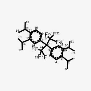 CC(C)c1ccc(C(c2ccc(C(C)C)c(C(C)C)c2)(C(F)(F)F)C(F)(F)F)cc1C(C)C